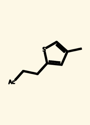 CC(=O)CCc1cc(C)cs1